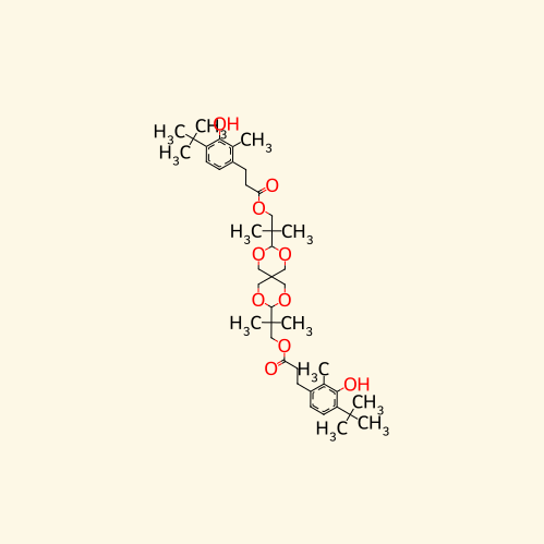 Cc1c(CCC(=O)OCC(C)(C)C2OCC3(CO2)COC(C(C)(C)COC(=O)CCc2ccc(C(C)(C)C)c(O)c2C)OC3)ccc(C(C)(C)C)c1O